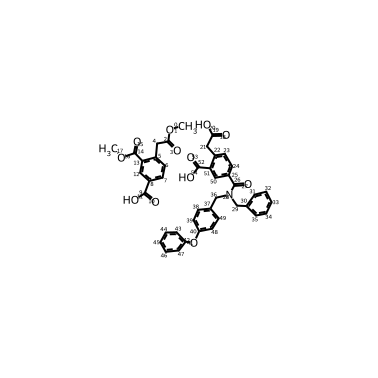 COC(=O)Cc1ccc(C(=O)O)cc1C(=O)OC.O=C(O)Cc1ccc(C(=O)N(Cc2ccccc2)Cc2ccc(Oc3ccccc3)cc2)cc1C(=O)O